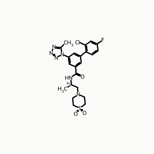 Cc1nnnn1-c1cc(C(=O)N[C@H](C)CN2CCS(=O)(=O)CC2)cc(-c2ccc(F)cc2Cl)c1